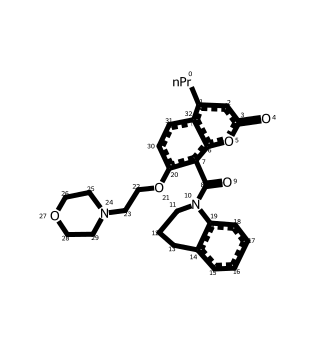 CCCc1cc(=O)oc2c(C(=O)N3CCCc4ccccc43)c(OCCN3CCOCC3)ccc12